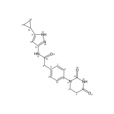 O=C1CCN(c2ccc(CC(=O)Nc3cc(C4CC4)[nH]n3)cc2)C(=O)N1